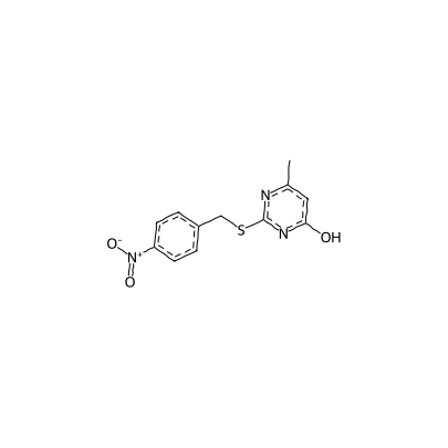 Cc1cc(O)nc(SCc2ccc([N+](=O)[O-])cc2)n1